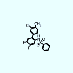 Cc1ccc(-c2cc(F)c(F)cc2NS(=O)(=O)c2ccccc2)cc1Cl